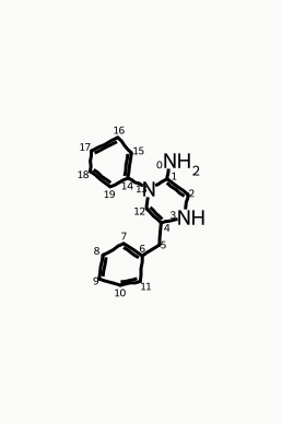 NC1=CNC(Cc2ccccc2)=CN1c1ccccc1